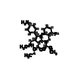 CCOC(=O)c1c(N(Cc2c(F)cccc2F)C(=O)OC)sc(-c2ccc(N)cc2)c1CPC